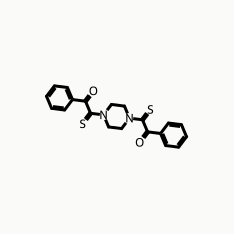 O=C(C(=S)N1CCN(C(=S)C(=O)c2ccccc2)CC1)c1ccccc1